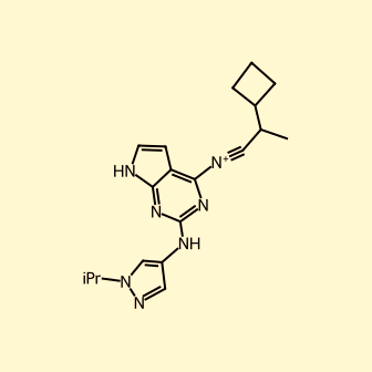 CC(C#[N+]c1nc(Nc2cnn(C(C)C)c2)nc2[nH]ccc12)C1CCC1